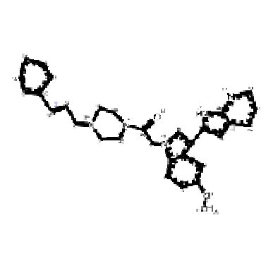 COc1ccc2c(c1)c(-c1cc3cccnc3[nH]1)cn2CC(=O)N1CCN(C/C=C/c2ccccc2)CC1